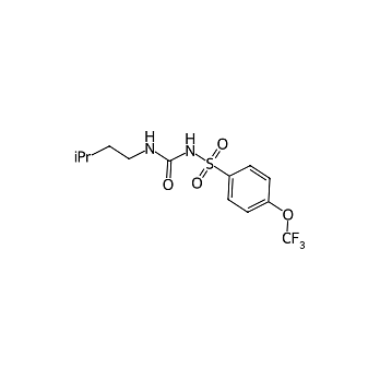 CC(C)CCNC(=O)NS(=O)(=O)c1ccc(OC(F)(F)F)cc1